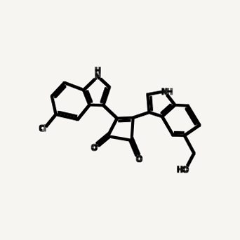 O=c1c(-c2c[nH]c3ccc(Cl)cc23)c(-c2c[nH]c3ccc(CO)cc23)c1=O